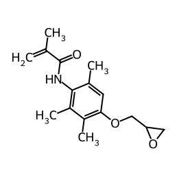 C=C(C)C(=O)Nc1c(C)cc(OCC2CO2)c(C)c1C